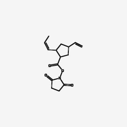 C=CC1CC(/C=C\C)C(C(=O)ON2C(=O)CCC2=O)C1